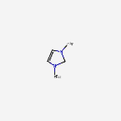 CCCN1C=CN(C(C)(C)C)C1